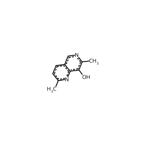 Cc1ccc2cnc(C)c(O)c2n1